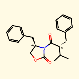 CC(C)[C@@H](Cc1ccccc1)C(=O)N1C(=O)OC[C@H]1Cc1ccccc1